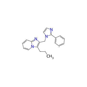 CCCc1c(Cn2ccnc2-c2c[c]ccc2)nc2ccccn12